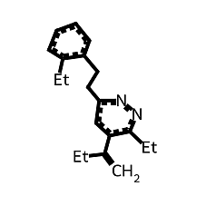 C=C(CC)c1cc(CCc2ccccc2CC)nnc1CC